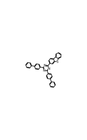 c1ccc(-c2ccc(-c3nc(-c4ccc(-c5ccccc5)cc4)nc(-c4ccc5c(c4)sc4ccccc45)n3)cc2)cc1